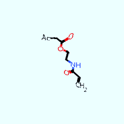 C=CC(=O)NCCOC(=O)CC(C)=O